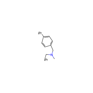 CC(C)CN(C)Cc1ccc(C(C)C)cc1